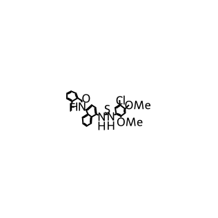 COc1cc(OC)c(NC(=S)Nc2ccc(NC(=O)c3ccccc3F)c3ccccc23)cc1Cl